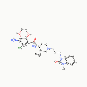 CCn1c(=O)n(CCCN2CC[C@@H](NC(=O)c3cc(Cl)c(N)c4c3OCCO4)[C@@H](OC)C2)c2ccccc21